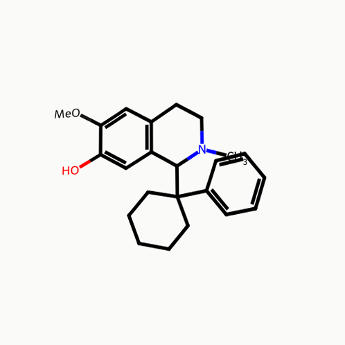 COc1cc2c(cc1O)C(C1(c3ccccc3)CCCCC1)N(C)CC2